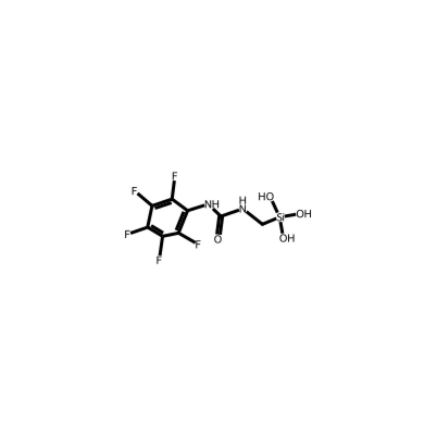 O=C(NC[Si](O)(O)O)Nc1c(F)c(F)c(F)c(F)c1F